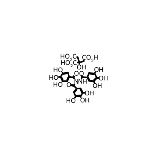 O=C(NN(C(=O)c1cc(O)c(O)c(O)c1)C(=O)c1cc(O)c(O)c(O)c1)c1cc(O)c(O)c(O)c1.O=C(O)CC(O)(CC(=O)O)C(=O)O